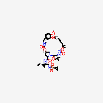 C=C[C@H]1C[C@@]1(NC(=O)C1C[C@@H]2CN1C(=O)[C@H](C(C)(C)C)NC(=O)OC(C)(C)C/C=C/COc1c(OC)ccc3c1CN(C3)C(=O)O2)C(=O)NS(=O)(=O)C1CC1